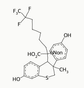 CCCCCCCCCC(CCCCCC(F)(F)C(F)(F)F)(C(=O)O)C1c2ccc(O)cc2SCC1(C)c1ccc(O)cc1